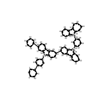 c1ccc(-c2ccc(-n3c4ccc(-c5ccc6c(c5)c5ccccc5n6-c5cccc(-n6c7ccccc7c7ccccc76)c5)cc4c4ccc(-c5ccccc5)cc43)cc2)cc1